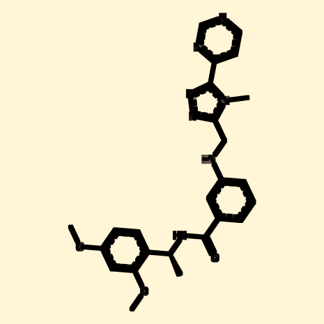 COc1ccc([C@H](C)NC(=O)c2cccc(NCc3nnc(-c4ccncn4)n3C)c2)c(OC)c1